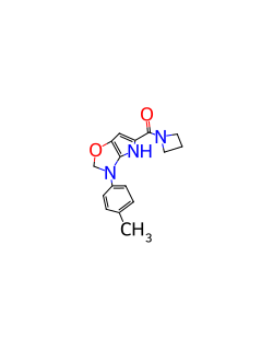 Cc1ccc(N2COc3cc(C(=O)N4CCC4)[nH]c32)cc1